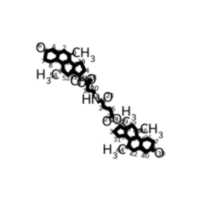 C[C@@H]1CC2=CC(=O)CCC2C2C1C1CC[C@H](OC(=O)CCNC(=O)CCC(=O)O[C@H]3CCC4C5C(C6CCC(=O)C=C6C[C@H]5C)[C@@H](C)C[C@@]43C)[C@@]1(C)C[C@@H]2C